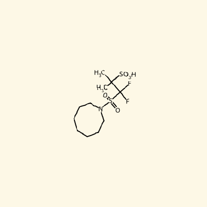 CC(C)(C(F)(F)S(=O)(=O)N1CCCCCCC1)S(=O)(=O)O